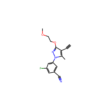 C#Cc1c(OCCOC)nn(-c2cc(F)cc(C#N)c2)c1C